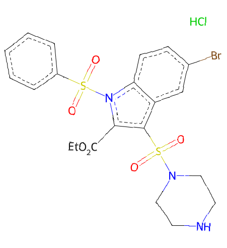 CCOC(=O)c1c(S(=O)(=O)N2CCNCC2)c2cc(Br)ccc2n1S(=O)(=O)c1ccccc1.Cl